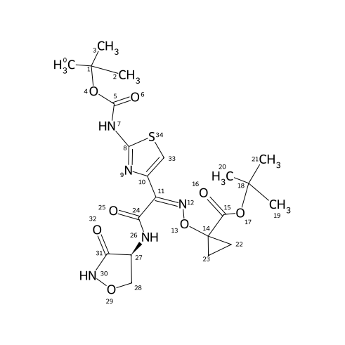 CC(C)(C)OC(=O)Nc1nc(/C(=N/OC2(C(=O)OC(C)(C)C)CC2)C(=O)N[C@H]2CONC2=O)cs1